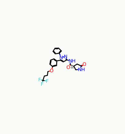 O=C1C[C@H](C(=O)Nc2cc(-c3cccc(OCCCC(F)(F)F)c3)n(-c3ccccc3)n2)CN1